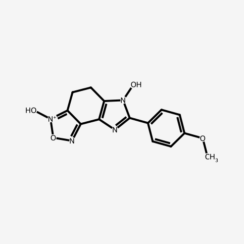 COc1ccc(-c2nc3c(n2O)CCc2c-3no[n+]2O)cc1